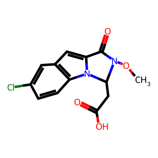 CON1C(=O)c2cc3cc(Cl)ccc3n2C1CC(=O)O